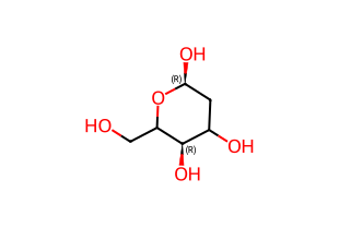 OCC1O[C@@H](O)CC(O)[C@H]1O